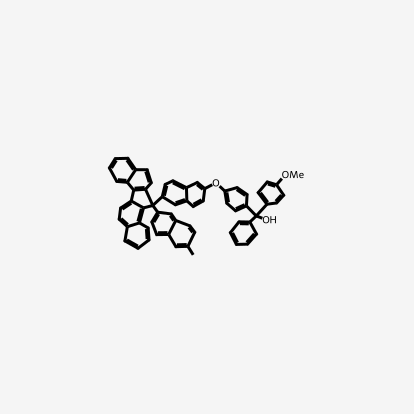 COc1ccc(C(O)(c2ccccc2)c2ccc(Oc3ccc4cc(C5(c6ccc7cc(C)ccc7c6)c6ccc7ccccc7c6-c6ccc7ccccc7c65)ccc4c3)cc2)cc1